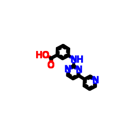 O=C(O)c1cccc(Nc2nccc(-c3cccnc3)n2)c1